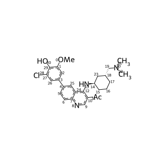 COc1cc(-c2ccc3ncc(C(C)=O)c(N[C@@H]4CCC[C@@H](CN(C)C)C4)c3c2)cc(Cl)c1O